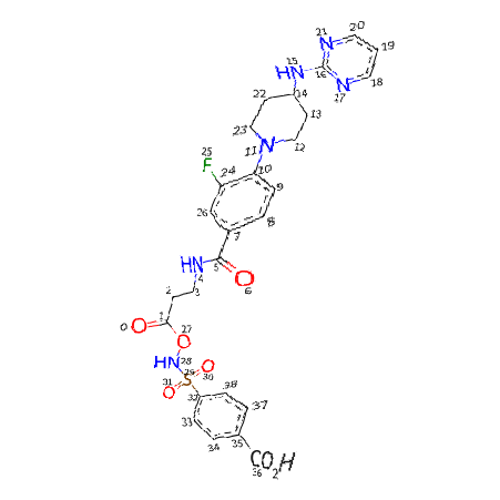 O=C(CCNC(=O)c1ccc(N2CCC(Nc3ncccn3)CC2)c(F)c1)ONS(=O)(=O)c1ccc(C(=O)O)cc1